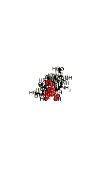 N[C@@H](CCC(=O)O)C(=O)N[C@@H](CO)C(=O)N[C@@H](CCC(=O)O)C(=O)N[C@@H](CO)C(=O)N[C@@H](CCC(=O)O)C(=O)N[C@@H](CO)C(=O)N[C@@H](CCC(=O)O)C(=O)N[C@@H](CO)C(=O)N[C@@H](CCC(=O)O)C(=O)N[C@@H](CO)C(=O)N[C@@H](CCC(=O)O)C(=O)N[C@@H](CO)C(=O)N[C@@H](CCC(=O)O)C(=O)N[C@@H](CO)C(=O)O